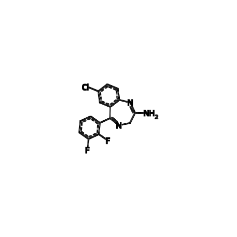 NC1=Nc2ccc(Cl)cc2C(c2cccc(F)c2F)=NC1